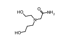 NC(=O)CN(CCO)CCCO